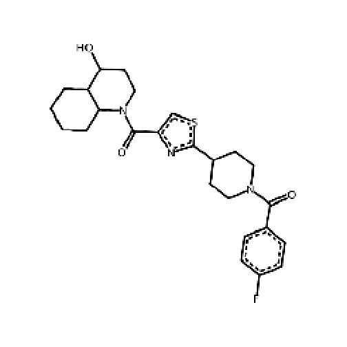 O=C(c1ccc(F)cc1)N1CCC(c2nc(C(=O)N3CCC(O)C4CCCCC43)cs2)CC1